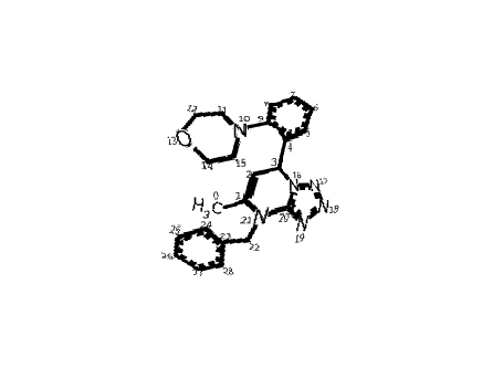 CC1=CC(c2ccccc2N2CCOCC2)n2nnnc2N1Cc1ccccc1